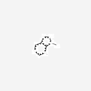 Cln1nnc2cncnc21